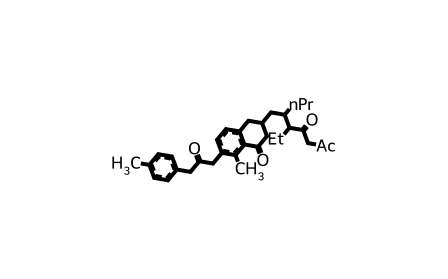 CCCC(CC1CC(=O)c2c(ccc(CC(=O)Cc3ccc(C)cc3)c2C)C1)C(CC)C(=O)CC(C)=O